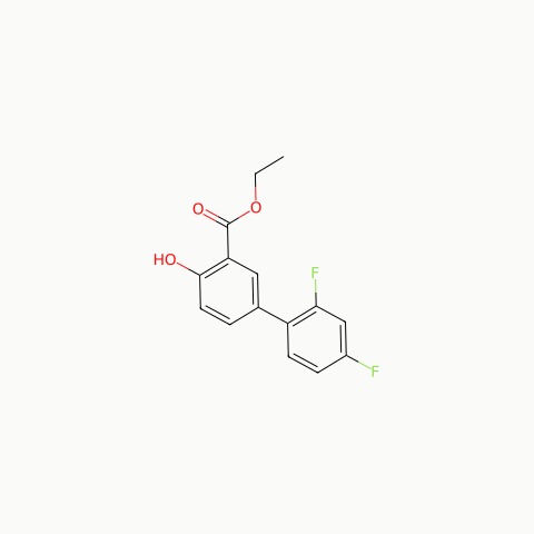 CCOC(=O)c1cc(-c2ccc(F)cc2F)ccc1O